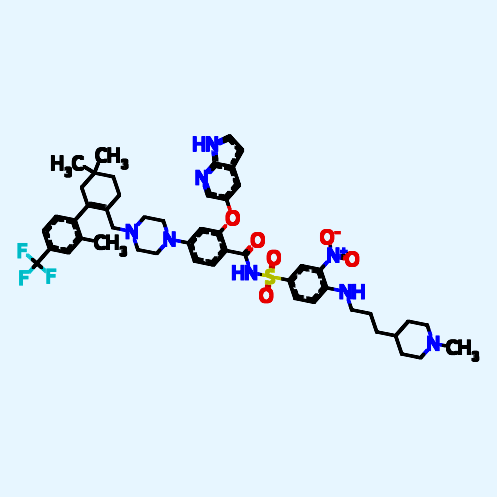 Cc1cc(C(F)(F)F)ccc1C1=C(CN2CCN(c3ccc(C(=O)NS(=O)(=O)c4ccc(NCCCC5CCN(C)CC5)c([N+](=O)[O-])c4)c(Oc4cnc5[nH]ccc5c4)c3)CC2)CCC(C)(C)C1